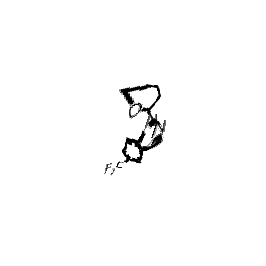 FC(F)(F)c1ccc2c(cnn2C2CCCCO2)c1